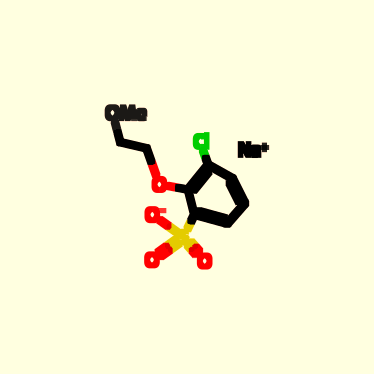 COCCOc1c(Cl)cccc1S(=O)(=O)[O-].[Na+]